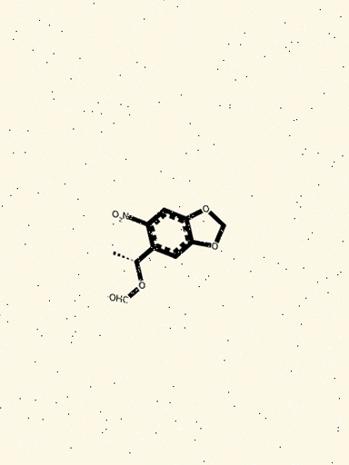 C[C@@H](O[C]=O)c1cc2c(cc1[N+](=O)[O-])OCO2